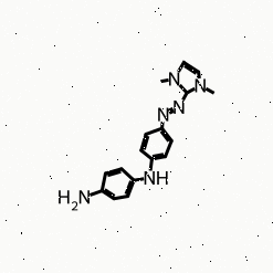 CN1C=CN(C)C1N=Nc1ccc(Nc2ccc(N)cc2)cc1